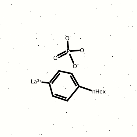 CCCCCCc1cc[c]([La+3])cc1.O=P([O-])([O-])[O-]